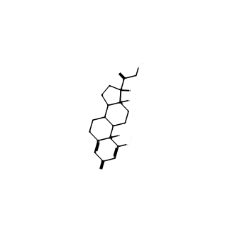 CC12C(O)=CC(=O)C=C1CCC1C2CCC2(C)C1CCC2(O)C(=O)CO